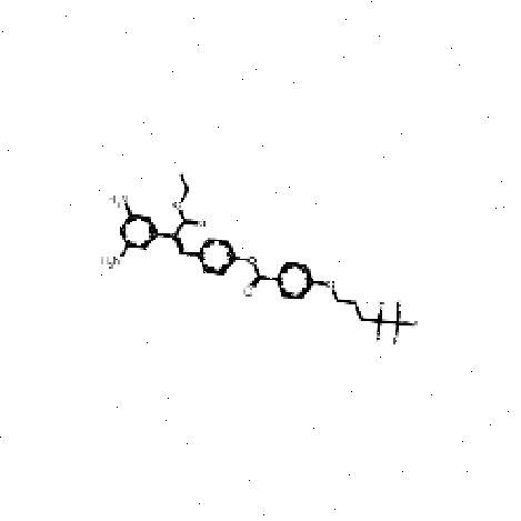 CCOC(=O)C(=Cc1ccc(OC(=O)c2ccc(OCCCC(F)(F)C(F)(F)F)cc2)cc1)c1cc(N)cc(N)c1